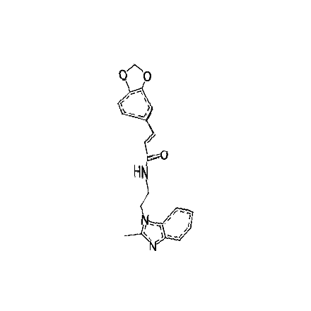 Cc1nc2ccccc2n1CCNC(=O)/C=C/c1ccc2c(c1)OCO2